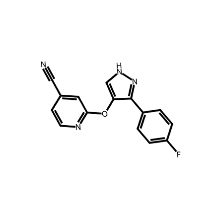 N#Cc1ccnc(Oc2c[nH]nc2-c2ccc(F)cc2)c1